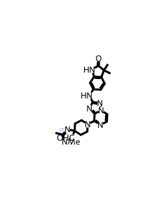 CN/C(C)=N\C1(C=O)CCN(c2nccn3nc(Nc4ccc5c(c4)NC(=O)C5(C)C)nc23)CC1